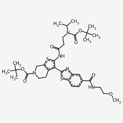 COCCNC(=O)c1ccc2sc(-c3c(NC(=O)CCN(C(=O)OC(C)(C)C)C(C)C)sc4c3CCN(C(=O)OC(C)(C)C)C4)nc2c1